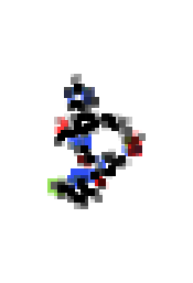 CC(=O)c1nn2c3c(cc(-c4cnc(C)nc4)cc13)CCCCCS(=O)(=O)NC[C@]1(C)C[C@@H](C(=O)Nc3nc(C(F)(F)F)ccc3C)N(C1)C(=O)C2